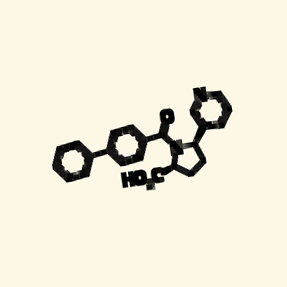 O=C(O)[C@@H]1CC[C@H](c2cccnc2)N1C(=O)c1ccc(-c2ccccc2)cc1